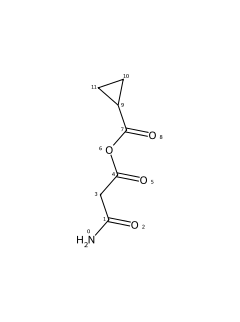 NC(=O)CC(=O)OC(=O)C1CC1